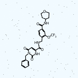 O=C(NC1CCOCC1)c1ccc(CNC(=O)c2cc(=O)n(Cc3ccccc3)c(=O)[nH]2)c(OC(F)(F)F)c1